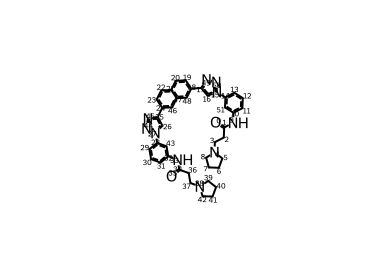 O=C(CCN1CCCC1)Nc1cccc(-n2cc(-c3ccc4ccc(-c5cn(-c6cccc(NC(=O)CCN7CCCC7)c6)nn5)cc4c3)nn2)c1